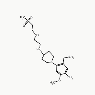 CCc1cc(N)c(OC)cc1N1CCC(NCCNCCS(C)(=O)=O)CC1